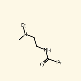 CCN(C)CCNC(=O)C(C)C